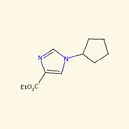 CCOC(=O)c1cn(C2CCCC2)cn1